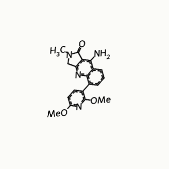 COc1ccc(-c2cccc3c(N)c4c(nc23)CN(C)C4=O)c(OC)n1